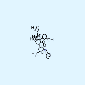 C=CCN1CC[C@]23c4c5ccc(O)c4OC2C(N(CC(C)C)C(=O)/C=C/c2ccoc2)CC[C@@]3(O)[C@H]1C5